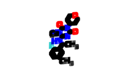 Cc1ccc(F)c([C@H](C)Nc2nc(=O)n(C3CCOCC3)c(=O)[nH]2)c1.[Ca]